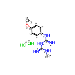 CC(C)NC(=N)NC(=N)Nc1ccc(OC(F)(F)F)cc1.Cl.Cl